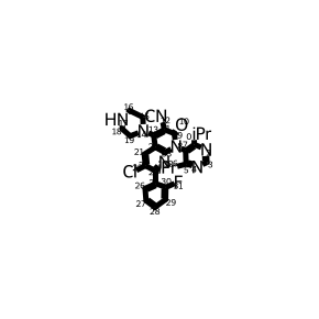 CC(C)c1ncnc(C(C)C)c1-n1c(=O)c(C#N)c(N2CCNCC2)c2cc(Cl)c(-c3ccccc3F)nc21